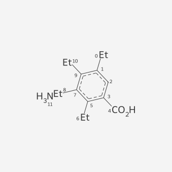 CCc1cc(C(=O)O)c(CC)c(CC)c1CC.N